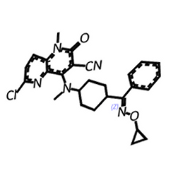 CN(c1c(C#N)c(=O)n(C)c2ccc(Cl)nc12)C1CCC(/C(=N/OC2CC2)c2ccccc2)CC1